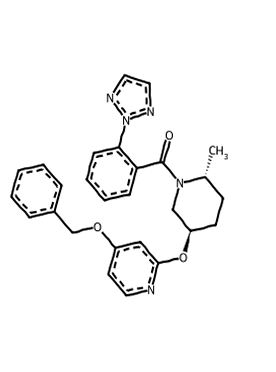 C[C@@H]1CC[C@@H](Oc2cc(OCc3ccccc3)ccn2)CN1C(=O)c1ccccc1-n1nccn1